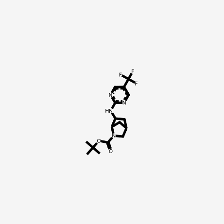 CC(C)(C)OC(=O)N1CC2CC(Nc3ncc(C(F)(F)F)cn3)C1C2